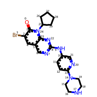 O=c1c(Br)cc2cnc(Nc3ccc(N4CCNCC4)nc3)nc2n1C1CCCC1